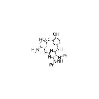 CC(C)N1NN(C(C)C)c2c(Nc3ccc(O)c(C(=O)O)c3)nc(NC3CCCCC3N)nc21